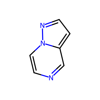 c1cn2nccc2cn1